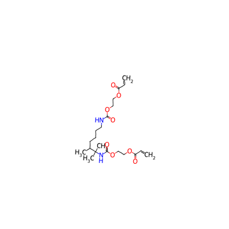 C=CC(=O)OCCOC(=O)NCCCCC(C)C(C)(C)NC(=O)OCCOC(=O)C=C